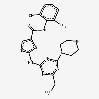 CCc1nc(Nc2ncc(C(=O)Nc3c(C)cccc3Cl)s2)nc(N2CCNCC2)n1